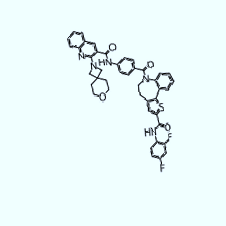 O=C(Nc1ccc(F)cc1F)c1cc2c(s1)-c1ccccc1N(C(=O)c1ccc(NC(=O)c3cc4ccccc4nc3N3CC4(CCOCC4)C3)cc1)CC2